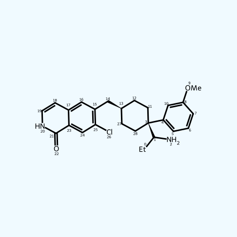 CCC(N)[C@]1(c2cccc(OC)c2)CC[C@H](Cc2cc3cc[nH]c(=O)c3cc2Cl)CC1